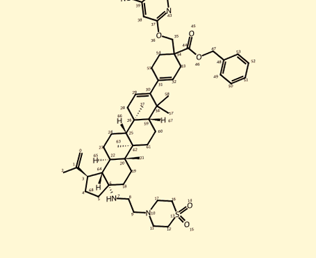 C=C(C)[C@@H]1CC[C@]2(NCCN3CCS(=O)(=O)CC3)CC[C@]3(C)[C@H](CC[C@@H]4[C@@]5(C)CC=C(C6=CCC(COc7cc(C#N)ccn7)(C(=O)OCc7ccccc7)CC6)C(C)(C)[C@@H]5CC[C@]43C)[C@@H]12